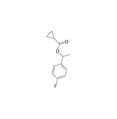 CC(OC(=O)C1CC1)c1ccc(F)cc1